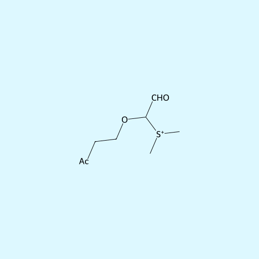 CC(=O)CCOC(C=O)[S+](C)C